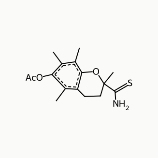 CC(=O)Oc1c(C)c(C)c2c(c1C)CCC(C)(C(N)=S)O2